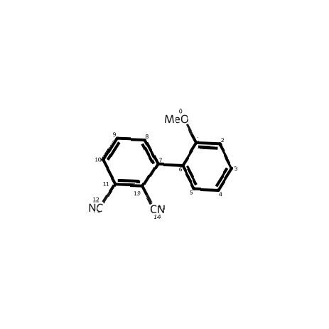 COc1ccccc1-c1cccc(C#N)c1C#N